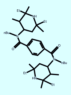 CCCCN(C(=O)c1ccc(C(=O)N(CCCC)C2CC(C)(CC)NC(C)(CC)C2C)cc1)C1CC(C)(CC)NC(C)(CC)C1C